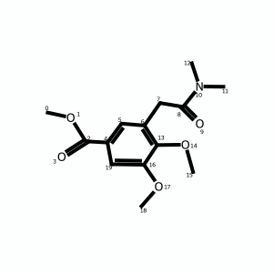 COC(=O)c1cc(CC(=O)N(C)C)c(OC)c(OC)c1